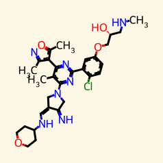 CNC[C@@H](O)COc1ccc(Cl)c(-c2nc(-c3c(C)noc3C)c(C)c(N3CC(=N)/C(=C\NC4CCOCC4)C3)n2)c1